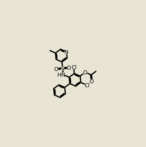 CC(=O)Oc1c(Cl)cc(-c2ccccc2)c(NS(=O)(=O)c2cncc(C)c2)c1Cl